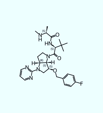 CN[C@@H](C)C(=O)N[C@H](C(=O)N1CC[C@@H]2[C@H]1[C@@H](OCc1ccc(F)cc1)CN2c1ncccn1)C(C)(C)C